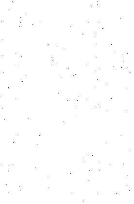 COc1cccc(/C=C/CN2C(=O)c3ccccc3C2=O)c1